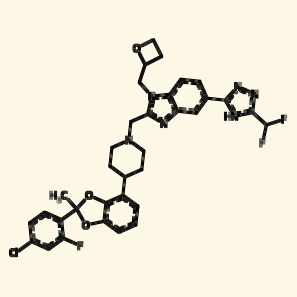 CC1(c2ccc(Cl)cc2F)Oc2cccc(C3CCN(Cc4nc5cc(-c6nnc(C(F)F)[nH]6)ccc5n4CC4CCO4)CC3)c2O1